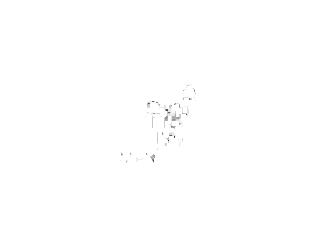 CNCCCNC(=O)C1C=C2N=C(c3ccccc3)C=C(c3ccccc3)N2N1